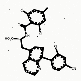 N#Cc1ccc(-c2ccc(C[C@H](NC(=O)c3c(Cl)cc(I)cc3Cl)C(=O)O)c3cccnc23)c(Cl)c1